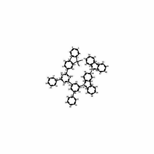 CC1(C)c2ccccc2-c2ccc(-c3nc(-c4ccccc4)nc(-c4cc(-c5ccccc5)cc(-n5c6ccccc6c6cc(-n7c8ccccc8c8ccccc87)ccc65)c4)n3)cc21